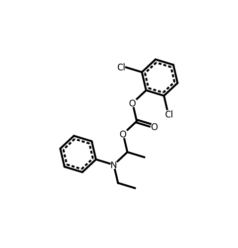 CCN(c1ccccc1)C(C)OC(=O)Oc1c(Cl)cccc1Cl